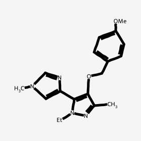 CCn1nc(C)c(OCc2ccc(OC)cc2)c1-c1cn(C)cn1